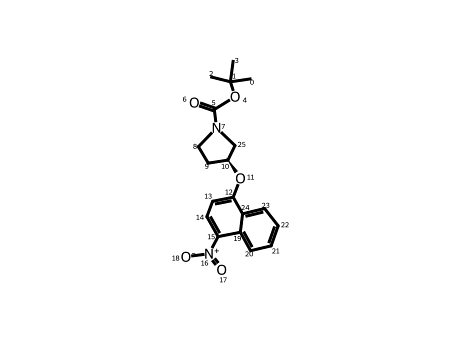 CC(C)(C)OC(=O)N1CC[C@H](Oc2ccc([N+](=O)[O-])c3ccccc23)C1